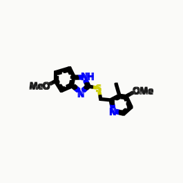 COc1ccc2[nH]c(SCc3nccc(OC)c3C)nc2c1